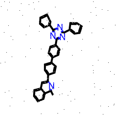 Cc1nc(-c2ccc(-c3ccc(-c4nc(-c5ccccc5)nc(-c5ccccc5)n4)cc3)cc2)cc2ccccc12